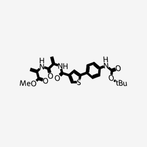 C=C(NC(=O)c1csc(-c2ccc(NC(=O)OC(C)(C)C)cc2)c1)C(=O)NC(=C)C(=O)OC